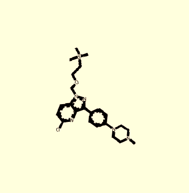 CN1CCN(c2ccc(-c3nn(COCCS(C)(C)C)c4ccc(Cl)nc34)cc2)CC1